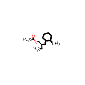 CCC(COC(C)=O)CC1CCCCC1C